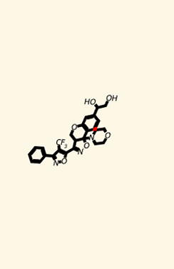 OCC(O)c1ccc2c(c1)OCC1C(c3onc(-c4ccccc4)c3C(F)(F)F)=NOC21N1CCOCC1